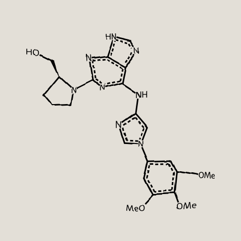 COc1cc(-n2cnc(Nc3nc(N4CCC[C@H]4CO)nc4[nH]cnc34)c2)cc(OC)c1OC